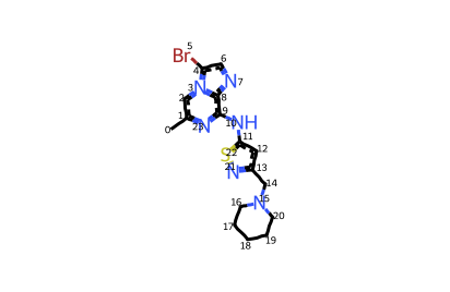 Cc1cn2c(Br)cnc2c(Nc2cc(CN3CCCCC3)ns2)n1